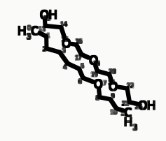 CCCCCCCOCCCC.OCCOCCOCCOCCO